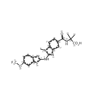 Cn1c(Nc2nc3ccc(OC(F)(F)F)cc3s2)nc2cc(C(=O)NC(C)(C)C(=O)O)ccc21